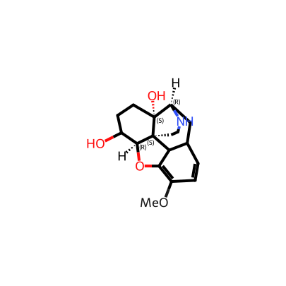 COC1=C2O[C@H]3C(O)CC[C@@]4(O)[C@H]5CC(C=C1)C2[C@@]34CCN5